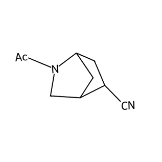 CC(=O)N1CC2CC1CC2C#N